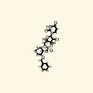 CCC1C(n2ccc(=O)[nH]c2=O)O[C@@H]2COP(=O)(O[C@H]3CSSC[C@@H]3OCc3ccccc3)O[C@@H]12